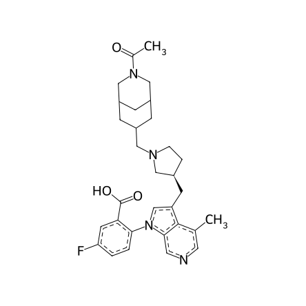 CC(=O)N1CC2CC(CN3CC[C@@H](Cc4cn(-c5ccc(F)cc5C(=O)O)c5cncc(C)c45)C3)CC(C2)C1